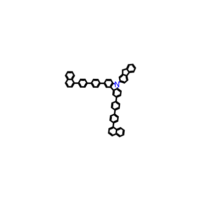 c1ccc2c(c1)Cc1cc(-n3c4ccc(-c5ccc(-c6ccc(-c7cccc8ccccc78)cc6)cc5)cc4c4cc(-c5ccc(-c6ccc(-c7cccc8ccccc78)cc6)cc5)ccc43)ccc1-2